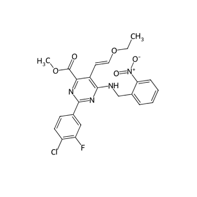 CCOC=Cc1c(NCc2ccccc2[N+](=O)[O-])nc(-c2ccc(Cl)c(F)c2)nc1C(=O)OC